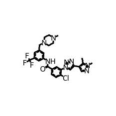 Cc1c(-c2cn(-c3cc(C(=O)Nc4cc(CN5CCN(C)CC5)cc(C(F)(F)F)c4)ccc3Cl)nn2)cnn1C